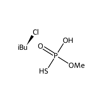 CC[C@H](C)Cl.COP(=O)(O)S